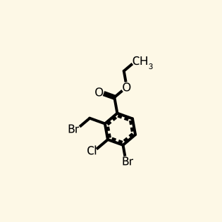 CCOC(=O)c1ccc(Br)c(Cl)c1CBr